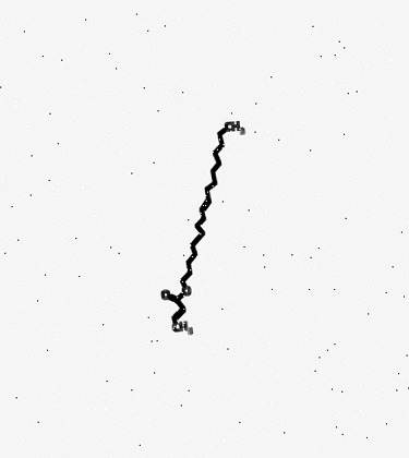 CC=CC(=O)OCCCCCCCCC=CCCCCCCCC